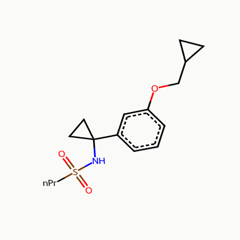 CCCS(=O)(=O)NC1(c2cccc(OCC3CC3)c2)CC1